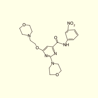 O=C(Nc1cccc([N+](=O)[O-])c1)c1cc(OCCN2CCOCC2)nc(N2CCOCC2)n1